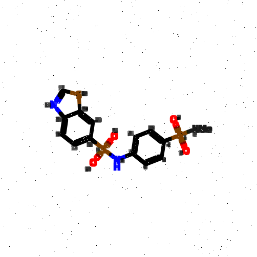 CNS(=O)(=O)c1ccc(NS(=O)(=O)c2ccc3ncsc3c2)cc1